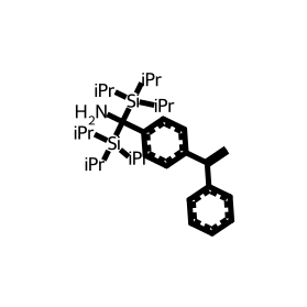 C=C(c1ccccc1)c1ccc(C(N)([Si](C(C)C)(C(C)C)C(C)C)[Si](C(C)C)(C(C)C)C(C)C)cc1